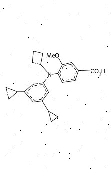 COc1cc(C(=O)O)ccc1N(c1cc(C2CC2)cc(C2CC2)c1)C1CCC1